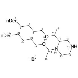 Br.CCCCCCCCCCCCCCOC(C)C1CNCCN1C(C)OCCCCCCCCCCCCCC